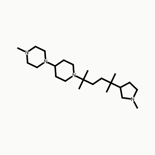 CN1CCN(C2CCN(C(C)(C)CCC(C)(C)C3CCN(C)C3)CC2)CC1